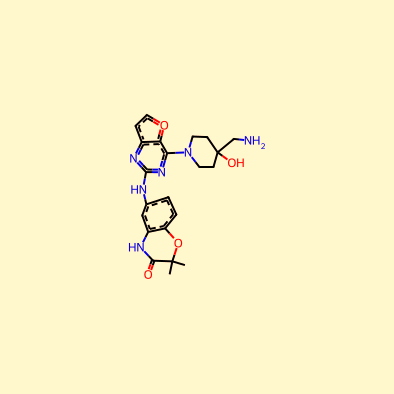 CC1(C)Oc2ccc(Nc3nc(N4CCC(O)(CN)CC4)c4occc4n3)cc2NC1=O